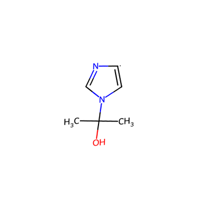 CC(C)(O)n1c[c]nc1